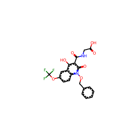 O=C(O)CNC(=O)c1c(O)c2cc(OC(F)(F)F)ccc2n(OCc2ccccc2)c1=O